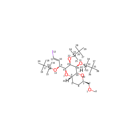 COC[C@H]1CC[C@@H]2O[C@@H]([C@H](/C=C/I)O[Si](C)(C)C(C)(C)C)[C@@H](O[Si](C)(C)C(C)(C)C)[C@@H](O[Si](C)(C)C(C)(C)C)[C@H]2O1